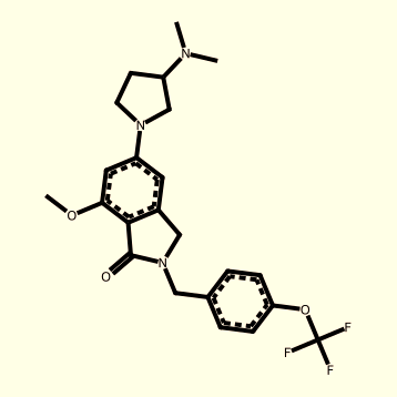 COc1cc(N2CCC(N(C)C)C2)cc2c1C(=O)N(Cc1ccc(OC(F)(F)F)cc1)C2